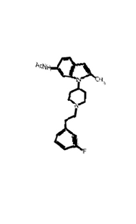 CC(=O)Nc1ccc2cc(C)n(C3CCN(CCc4cccc(F)c4)CC3)c2c1